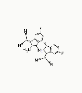 C=C1/C(=N\C2=C(N)C(=C(C#N)C#N)c3cc(F)ccc32)C(=C(C#N)C#N)c2cc(F)ccc21